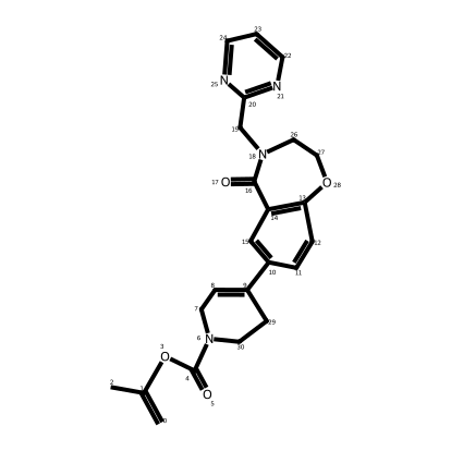 C=C(C)OC(=O)N1CC=C(c2ccc3c(c2)C(=O)N(Cc2ncccn2)CCO3)CC1